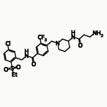 CCS(=O)(=O)c1ccc(Cl)cc1CNC(=O)c1ccc(CN2CCCC(NC(=O)CCN)C2)c(C(F)(F)F)c1